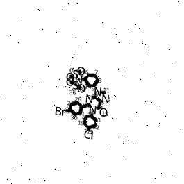 CS(=O)(=O)N(c1cccc(-n2cnc3c(=O)n(-c4ccc(Cl)cc4)c(-c4ccc(Br)cc4)nc32)c1)S(C)(=O)=O